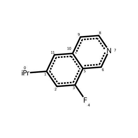 CC(C)c1cc(F)c2cnccc2c1